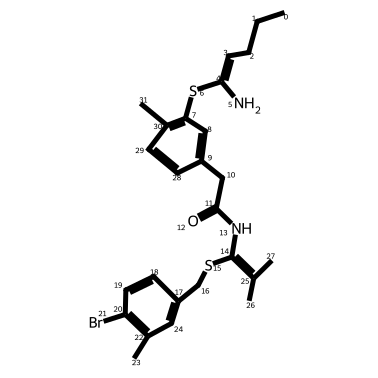 CCC/C=C(\N)Sc1cc(CC(=O)NC(SCc2ccc(Br)c(C)c2)=C(C)C)ccc1C